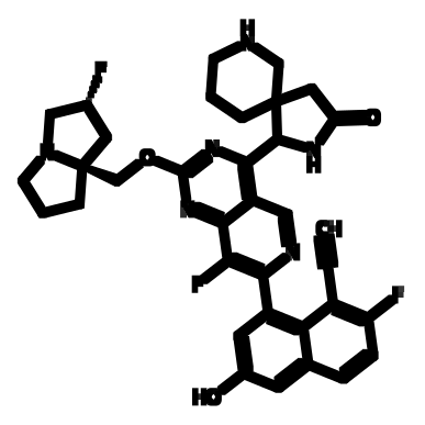 C#Cc1c(F)ccc2cc(O)cc(-c3ncc4c(C5NC(=O)CC56CCCNC6)nc(OC[C@@]56CCCN5C[C@H](F)C6)nc4c3F)c12